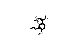 CCOc1cc(/C(=C\S(C)(=O)=O)NC)ccc1OC